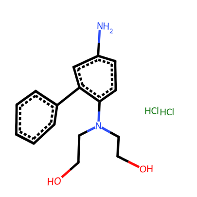 Cl.Cl.Nc1ccc(N(CCO)CCO)c(-c2ccccc2)c1